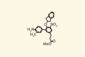 COC(=O)CCc1cc(-c2ccc(N)c(C)c2)c(OC2Cc3ccccc3C2)c([N+](=O)[O-])c1